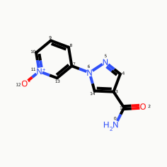 NC(=O)c1cnn(-c2ccc[n+]([O-])c2)c1